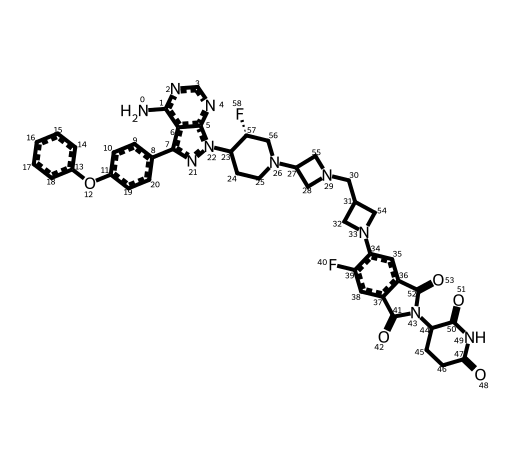 Nc1ncnc2c1c(-c1ccc(Oc3ccccc3)cc1)nn2C1CCN(C2CN(CC3CN(c4cc5c(cc4F)C(=O)N(C4CCC(=O)NC4=O)C5=O)C3)C2)C[C@H]1F